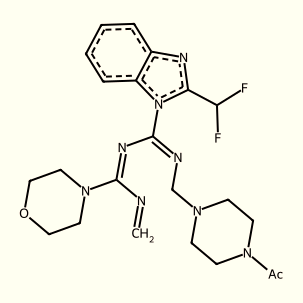 C=N/C(=N\C(=N/CN1CCN(C(C)=O)CC1)n1c(C(F)F)nc2ccccc21)N1CCOCC1